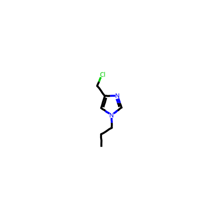 CCCn1cnc(CCl)c1